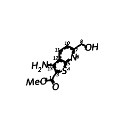 COC(=O)c1sc2nc(CO)ccc2c1N